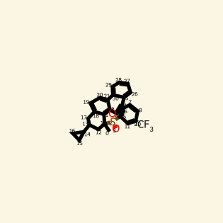 CC1(S(=O)(=O)c2cccc(C(F)(F)F)c2)CC(C2CC2)Cc2ccc3c(ccc4ccccc43)c21